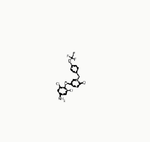 Nc1cc(Cl)c(Oc2ccc(=O)n(Cc3ccc(OC(F)(F)F)cc3)c2)c(Cl)c1